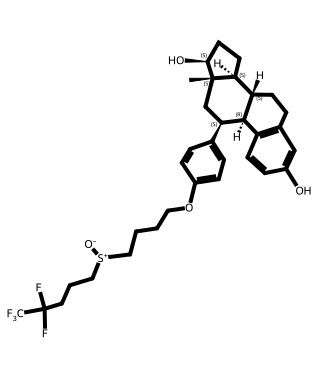 C[C@]12C[C@H](c3ccc(OCCCC[S+]([O-])CCCC(F)(F)C(F)(F)F)cc3)[C@@H]3c4ccc(O)cc4CC[C@H]3[C@@H]1CC[C@@H]2O